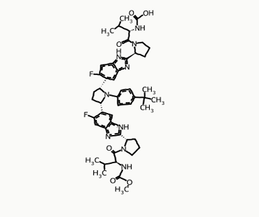 COC(=O)N[C@H](C(=O)N1CCC[C@H]1c1nc2cc(F)c([C@@H]3CC[C@H](c4cc5nc([C@@H]6CCCN6C(=O)[C@@H](NC(=O)O)C(C)C)[nH]c5cc4F)N3c3ccc(C(C)(C)C)cc3)cc2[nH]1)C(C)C